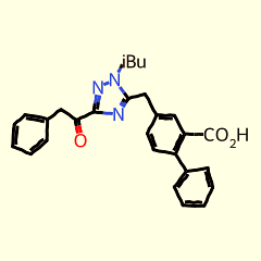 CCC(C)n1nc(C(=O)Cc2ccccc2)nc1Cc1ccc(-c2ccccc2)c(C(=O)O)c1